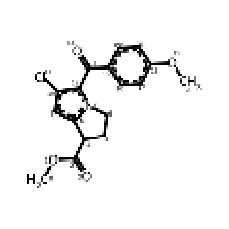 COC(=O)C1CCn2c1cc(Cl)c2C(=O)c1ccc(OC)cc1